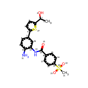 CC(O)c1ccc(-c2ccc(N)c(NC(=O)c3ccc(S(C)(=O)=O)cc3)c2)s1